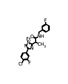 CCn1nc(-c2ccc(Cl)c(F)c2)nc1C(C)C(=O)NCc1cccc(F)c1